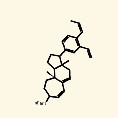 C=Cc1cc(C2CCC3C2(C)CC=C2C=CC(CCCCC)CC[C@@]23C)ccc1/C=C\C